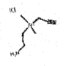 C#CC[N+](C)(C)CCN.Cl